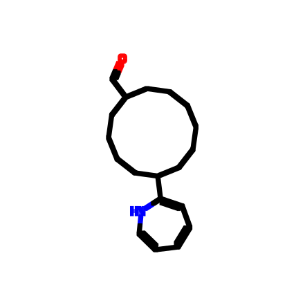 O=CC1CCCCCCC(C2=CC=CC=CN2)CCCC1